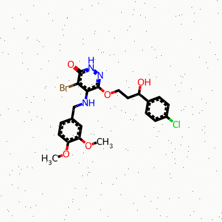 COc1ccc(CNc2c(OCCC(O)c3ccc(Cl)cc3)n[nH]c(=O)c2Br)cc1OC